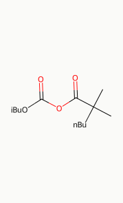 CCCCC(C)(C)C(=O)OC(=O)OCC(C)C